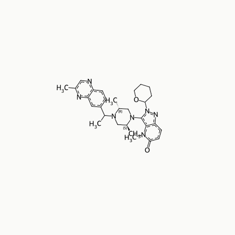 Cc1cnc2ccc(C(C)N3C[C@H](C)N(c4c5c(ccc(=O)n5C)nn4C4CCCCO4)C[C@H]3C)cc2n1